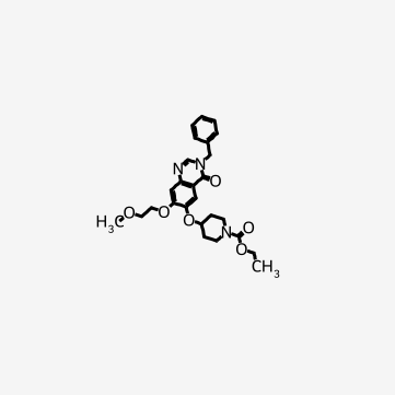 CCOC(=O)N1CCC(Oc2cc3c(=O)n(Cc4ccccc4)cnc3cc2OCCOC)CC1